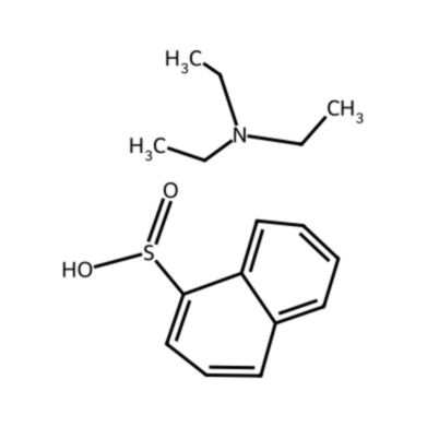 CCN(CC)CC.O=S(O)c1cccc2ccccc12